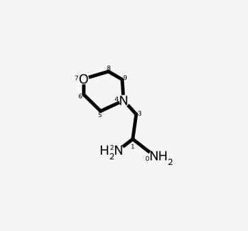 NC(N)CN1CCOCC1